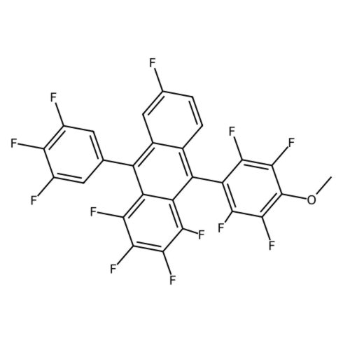 COc1c(F)c(F)c(-c2c3ccc(F)cc3c(-c3cc(F)c(F)c(F)c3)c3c(F)c(F)c(F)c(F)c23)c(F)c1F